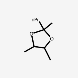 [CH2]CCC1(C)OC(C)C(C)O1